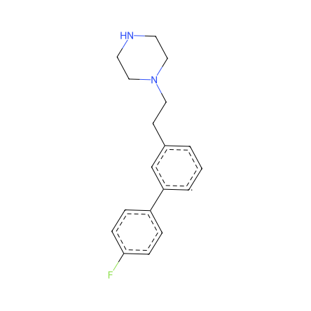 Fc1ccc(-c2[c]ccc(CCN3CCNCC3)c2)cc1